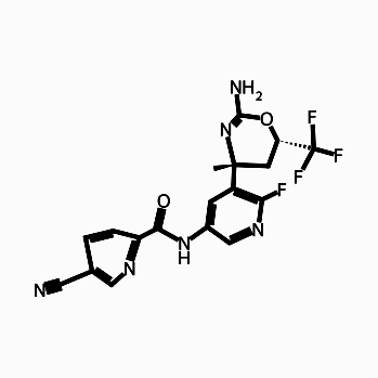 C[C@]1(c2cc(NC(=O)c3ccc(C#N)cn3)cnc2F)C[C@@H](C(F)(F)F)OC(N)=N1